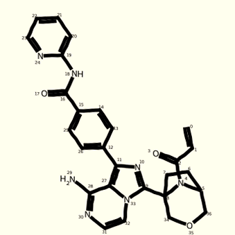 C=CC(=O)N1C2CCC1(c1nc(-c3ccc(C(=O)Nc4ccccn4)cc3)c3c(N)nccn13)COC2